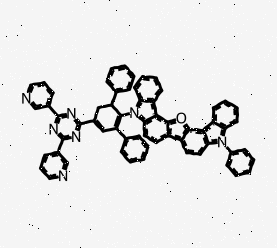 C1=C(c2nc(-c3cccnc3)nc(-c3cccnc3)n2)CC(c2ccccc2)C(n2c3ccccc3c3c4oc5c(ccc6c5c5ccccc5n6-c5ccccc5)c4ccc32)=C1c1ccccc1